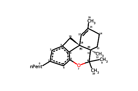 CCCCCc1cc2c3c(c1)OC(C)(C)[C@]1(C)CCC(C)=C[C@@]31C2